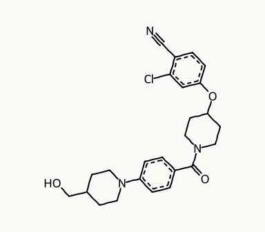 N#Cc1ccc(OC2CCN(C(=O)c3ccc(N4CCC(CO)CC4)cc3)CC2)cc1Cl